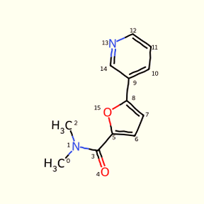 CN(C)C(=O)c1ccc(-c2cccnc2)o1